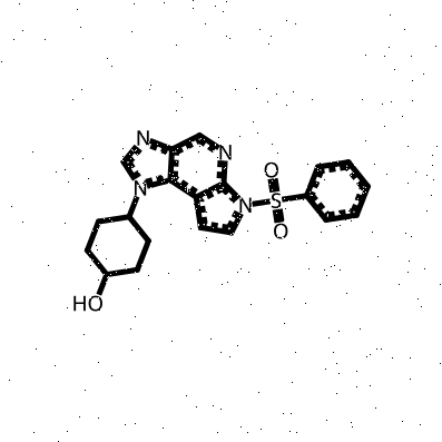 O=S(=O)(c1ccccc1)n1ccc2c3c(cnc21)ncn3C1CCC(O)CC1